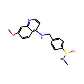 CN[S+]([O-])c1ccc(CNc2ccnc3cc(OC)ccc23)cc1